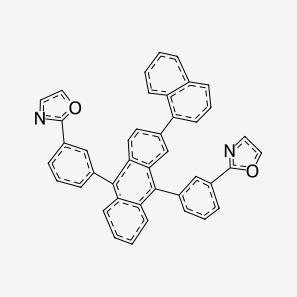 c1cc(-c2ncco2)cc(-c2c3ccccc3c(-c3cccc(-c4ncco4)c3)c3cc(-c4cccc5ccccc45)ccc23)c1